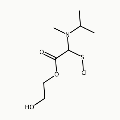 CC(C)N(C)C(SCl)C(=O)OCCO